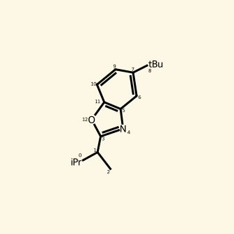 CC(C)C(C)c1nc2cc(C(C)(C)C)ccc2o1